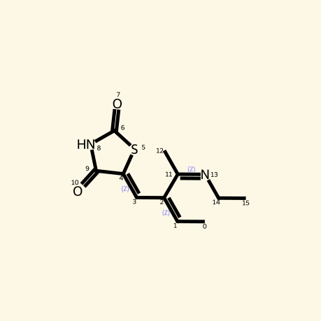 C/C=C(/C=C1\SC(=O)NC1=O)C(\C)=N/CC